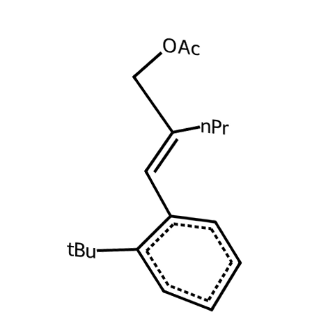 CCC/C(=C\c1ccccc1C(C)(C)C)COC(C)=O